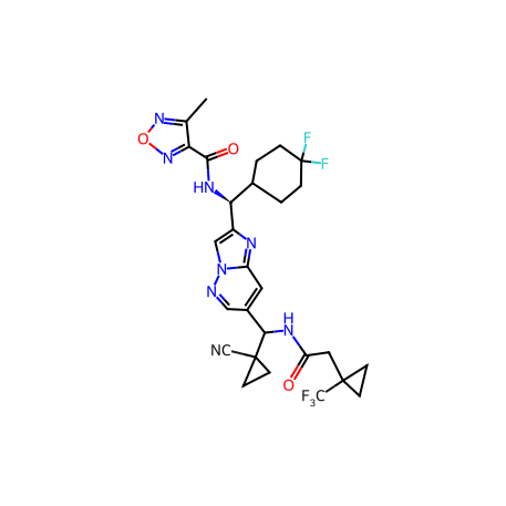 Cc1nonc1C(=O)N[C@H](c1cn2ncc(C(NC(=O)CC3(C(F)(F)F)CC3)C3(C#N)CC3)cc2n1)C1CCC(F)(F)CC1